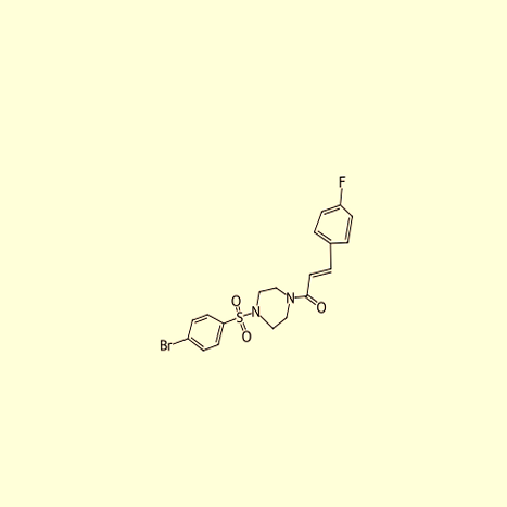 O=C(C=Cc1ccc(F)cc1)N1CCN(S(=O)(=O)c2ccc(Br)cc2)CC1